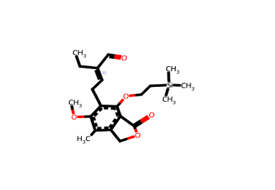 CC/C(C=O)=C\Cc1c(OC)c(C)c2c(c1OCC[Si](C)(C)C)C(=O)OC2